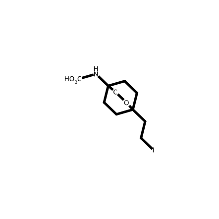 O=C(O)NC12CCC(CCI)(CC1)OC2